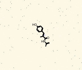 C=C(C)NC(=O)/C(C)=C/c1ccc(O)cc1